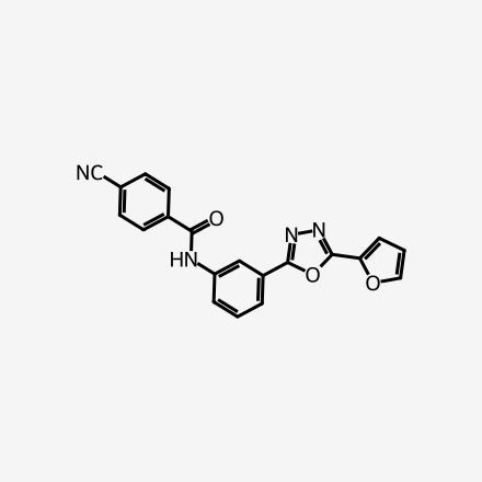 N#Cc1ccc(C(=O)Nc2cccc(-c3nnc(-c4ccco4)o3)c2)cc1